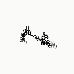 COC(=O)c1cnc2c(c1)C[C@@]1(C2)C(=O)Nc2ncc(/C=C/COCCOCCN3C(=O)C(NC(=O)OC(C)(C)C)CC(c4c(F)ccc(F)c4F)C3C)cc21